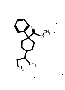 CCC(N)N1CCC(C(=O)OC)(c2ccccc2)CC1